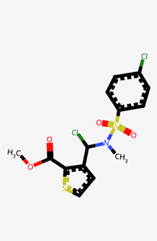 COC(=O)c1sccc1C(Cl)N(C)S(=O)(=O)c1ccc(Cl)cc1